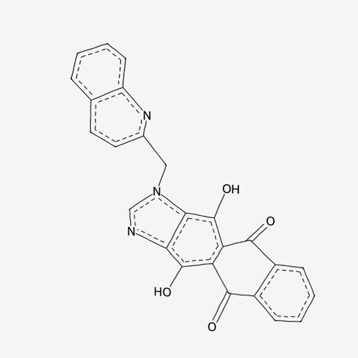 O=C1c2ccccc2C(=O)c2c1c(O)c1ncn(Cc3ccc4ccccc4n3)c1c2O